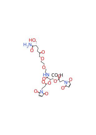 NC(=O)[C@H](CO)CCC(=O)COCCOCCNC(=O)[C@H](OC(=O)CCN1C(=O)C=CC1=O)[C@@H](OC(=O)CCN1C(=O)C=CC1=O)C(=O)O